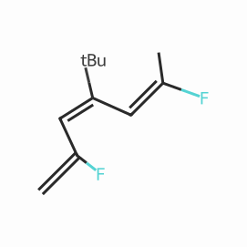 C=C(F)/C=C(\C=C(/C)F)C(C)(C)C